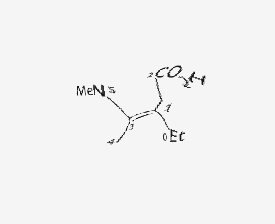 CCC(C(=O)O)=C(C)NC